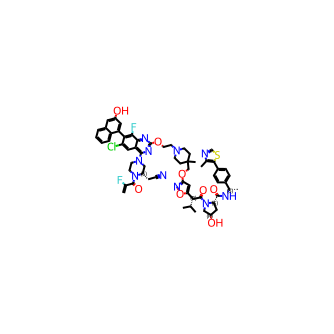 C=C(F)C(=O)N1CCN(c2nc(OCCN3CCC(C)(COc4cc([C@H](C(=O)N5C[C@H](O)C[C@H]5C(=O)N[C@@H](C)c5ccc(-c6scnc6C)cc5)C(C)C)on4)CC3)nc3c(F)c(-c4cc(O)cc5ccccc45)c(Cl)cc23)C[C@@H]1CC#N